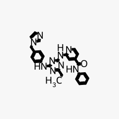 CCc1nc(Nc2ccc(Cn3ccnc3)cc2)nc(Nc2cc(C(=O)Nc3ccccc3)ccn2)n1